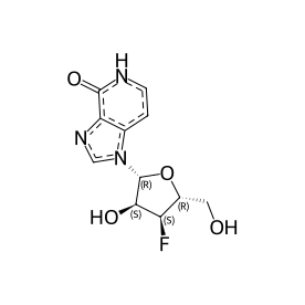 O=c1[nH]ccc2c1ncn2[C@@H]1O[C@H](CO)[C@@H](F)[C@H]1O